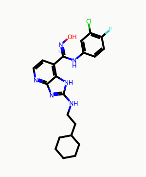 O/N=C(\Nc1ccc(F)c(Cl)c1)c1ccnc2nc(NCCC3CCCCC3)[nH]c12